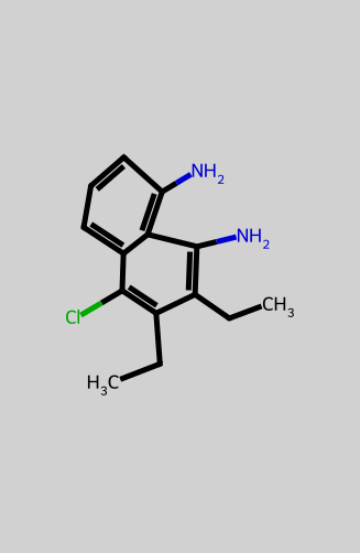 CCc1c(CC)c(N)c2c(N)cccc2c1Cl